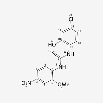 COc1cc([N+](=O)[O-])ccc1NC(=S)Nc1ccc(Cl)cc1O